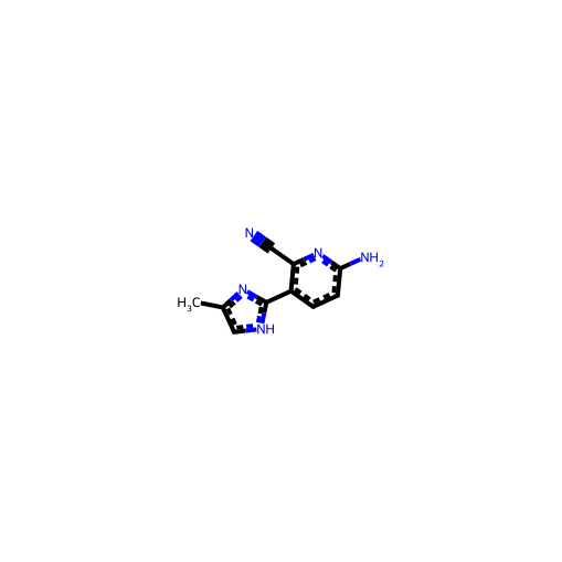 Cc1c[nH]c(-c2ccc(N)nc2C#N)n1